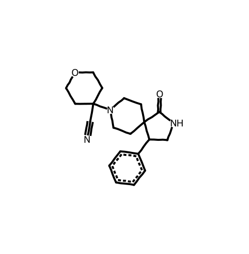 N#CC1(N2CCC3(CC2)C(=O)NCC3c2ccccc2)CCOCC1